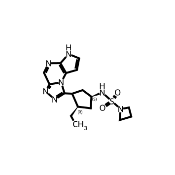 CC[C@@H]1C[C@H](NS(=O)(=O)N2CCC2)CC1c1nnc2cnc3[nH]ccc3n12